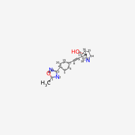 Cc1nc(-c2ccc(C#CC3(O)CN4CCC3CC4)cc2)no1